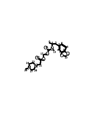 CC(Cc1ccc2c(c1)OCO2)N(C)C(=O)OCOC(=O)CN1CCN(C)CC1